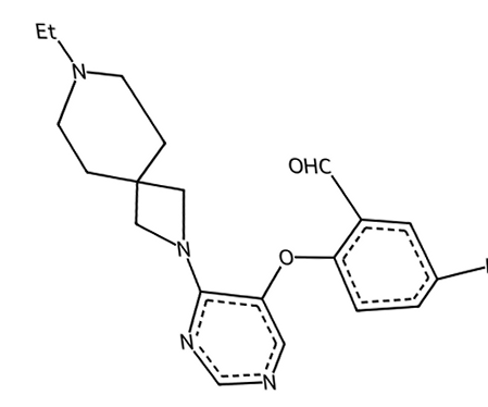 CCN1CCC2(CC1)CN(c1ncncc1Oc1ccc(F)cc1C=O)C2